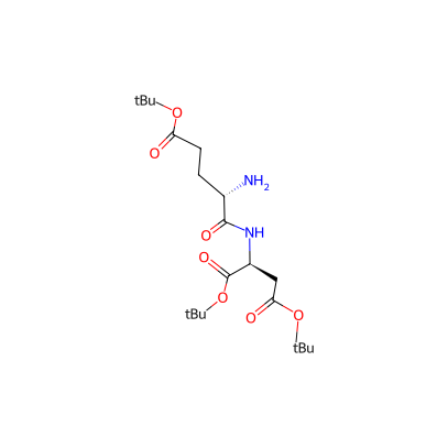 CC(C)(C)OC(=O)CC[C@H](N)C(=O)N[C@@H](CC(=O)OC(C)(C)C)C(=O)OC(C)(C)C